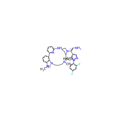 C=Nc1cccc2c1N(CC)CCCN(C)C(=C)C1CC(CN1/C(=C/N)c1cnn(-c3ccc(F)cc3F)c1C)Nc1cccc-2n1